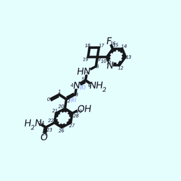 C=C/C(=C\N=C(/N)NCC1(c2ncccc2F)CCC1)c1cc(C(N)=O)ccc1O